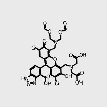 O=COCN(COC=O)Cc1c2oc3c(CN(CC(=O)O)CC(=O)O)c(O)c(Cl)cc3c(-c3ccc4[nH]nnc4c3C(=O)O)c-2cc(Cl)c1=O